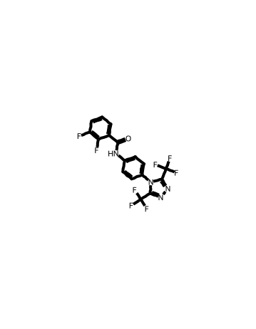 O=C(Nc1ccc(-n2c(C(F)(F)F)nnc2C(F)(F)F)cc1)c1cccc(F)c1F